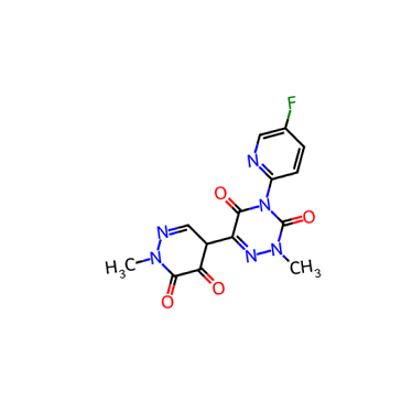 CN1N=CC(c2nn(C)c(=O)n(-c3ccc(F)cn3)c2=O)C(=O)C1=O